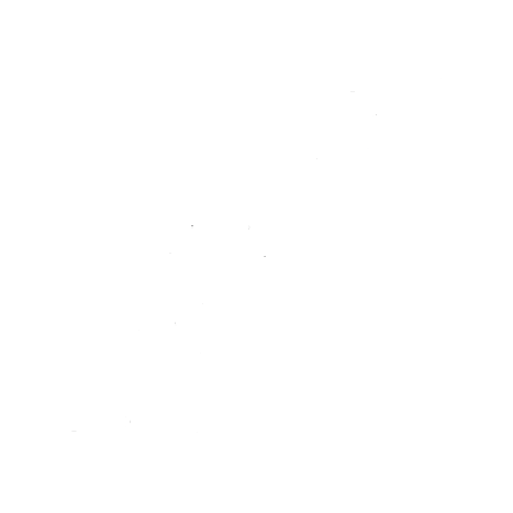 CCOc1ccc(-c2ccc(CCC/C=C(\F)CF)cc2)c(F)c1F